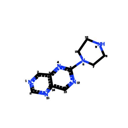 c1ncc2nc(N3CCNCC3)ncc2n1